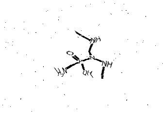 CNN(NC)P(N)(=O)O